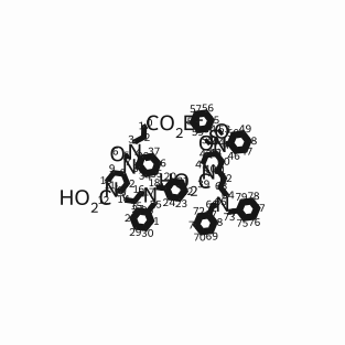 CCOC(=O)CCCn1c(=O)n(C2CCN(C(=O)O)[C@@H](CCCN(Cc3ccccc3)Cc3ccccc3)C2)c2ccccc21.O=C(O)N1CC[C@H](N(c2ccccc2)S(=O)(=O)c2ccccc2)CC1CCCN(Cc1ccccc1)Cc1ccccc1